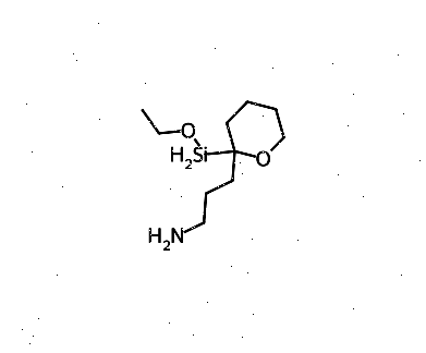 CCO[SiH2]C1(CCCN)CCCCO1